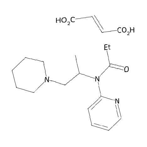 CCC(=O)N(c1ccccn1)C(C)CN1CCCCC1.O=C(O)C=CC(=O)O